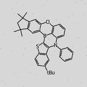 CC(C)(C)c1ccc2sc3c(c2c1)N(c1ccccc1)c1cccc2c1B3c1cc3c(cc1O2)C(C)(C)CC3(C)C